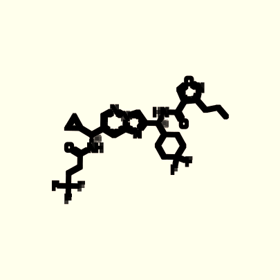 CCCc1nocc1C(=O)N[C@H](c1cn2ncc([C@H](NC(=O)CCC(F)(F)F)C3CC3)cc2n1)C1CCC(F)(F)CC1